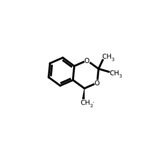 [CH2][C@@H]1OC(C)(C)Oc2ccccc21